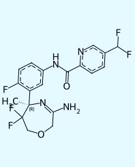 C[C@]1(c2cc(NC(=O)c3ccc(C(F)F)cn3)ccc2F)N=C(N)COCC1(F)F